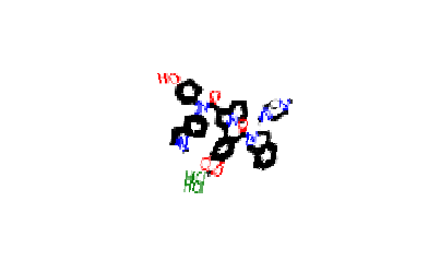 CN1CCN(C[C@@H]2Cc3ccccc3CN2C(=O)c2cc3c(cc2-c2cc(C(=O)N(c4ccc(O)cc4)c4ccc5c(ccn5C)c4)c4n2CCCC4)OCO3)CC1.Cl.Cl